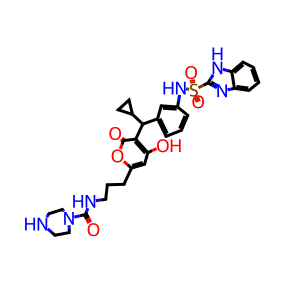 O=C(NCCCc1cc(O)c(C(c2cccc(NS(=O)(=O)c3nc4ccccc4[nH]3)c2)C2CC2)c(=O)o1)N1CCNCC1